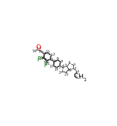 C=CC1CCC2C(c3ccc(-c4ccc(C5CO5)c(F)c4F)cc3)CCC12